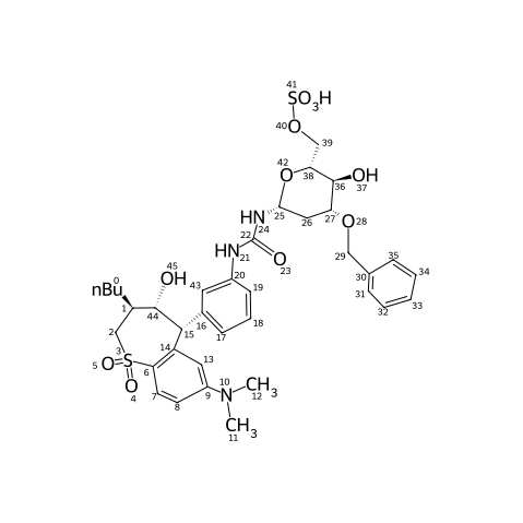 CCCC[C@@H]1CS(=O)(=O)c2ccc(N(C)C)cc2[C@@H](c2cccc(NC(=O)N[C@H]3C[C@@H](OCc4ccccc4)[C@H](O)[C@@H](COS(=O)(=O)O)O3)c2)[C@H]1O